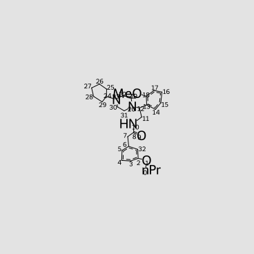 CCCOc1cccc(CC(=O)NCC(c2ccccc2OC)N2CCN(C3CCCCC3)CC2)c1